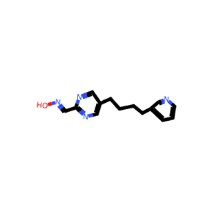 ON=Cc1ncc(CCCCc2cccnc2)cn1